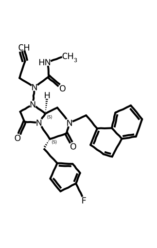 C#CCN(C(=O)NC)N1CC(=O)N2[C@@H](Cc3ccc(F)cc3)C(=O)N(Cc3cccc4ccccc34)C[C@@H]21